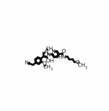 COCCCCNC(=O)c1ccc(N2C(O)=C(c3ccc(CC#N)cc3OC)CN2C)nc1